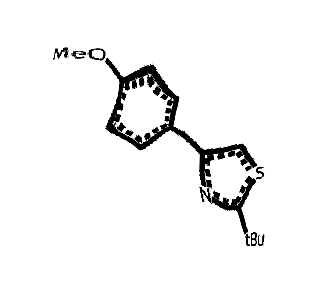 COc1ccc(-c2csc(C(C)(C)C)n2)cc1